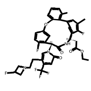 CCOC(=O)C[C@@H]1NC(=O)[C@@H](n2cc(CCN3CC(F)C3)c(C(F)(F)F)cc2=O)c2cc(ccc2F)Oc2cccc(C)c2-c2cc(C)c(F)c1c2